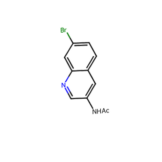 CC(=O)Nc1cnc2cc(Br)ccc2c1